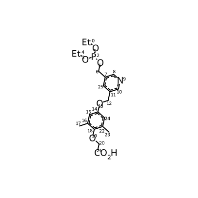 CCOP(OCC)OCc1cncc(COc2cc(C)c(OCC(=O)O)c(C)c2)c1